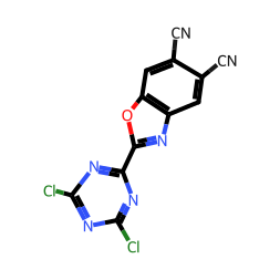 N#Cc1cc2nc(-c3nc(Cl)nc(Cl)n3)oc2cc1C#N